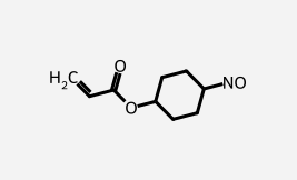 C=CC(=O)OC1CCC(N=O)CC1